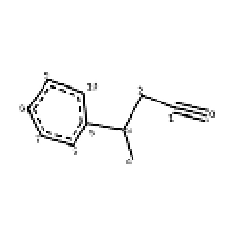 [C]#CCC(C)c1ccccc1